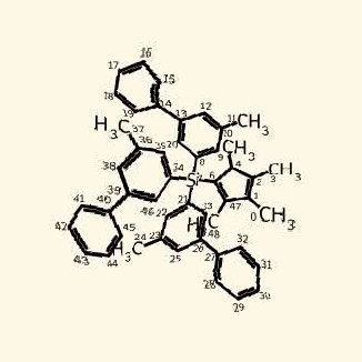 CC1=C(C)C(C)C([Si](c2cc(C)cc(-c3ccccc3)c2)(c2cc(C)cc(-c3ccccc3)c2)c2cc(C)cc(-c3ccccc3)c2)=C1C